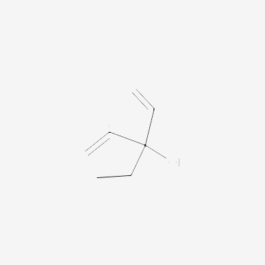 C=CC(O)(C=C)CC